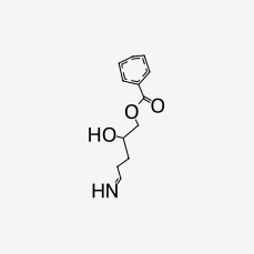 N=CCCC(O)COC(=O)c1ccccc1